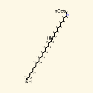 CCCCCCCC/C=C\CCCCCCCCNCCCCCCCCCCCCCCCC=N